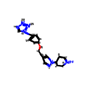 c1nn(C2CCNCC2)cc1COc1ccc(-n2cnnn2)cc1